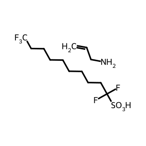 C=CCN.O=S(=O)(O)C(F)(F)CCCCCCCCC(F)(F)F